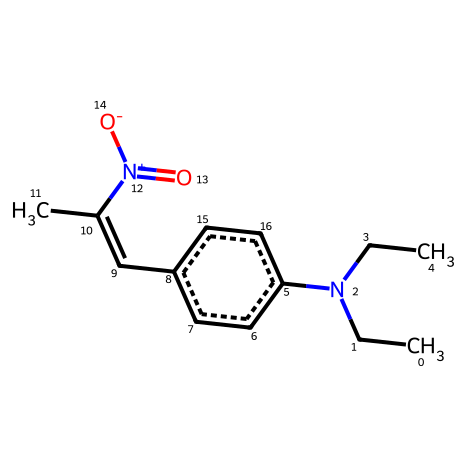 CCN(CC)c1ccc(C=C(C)[N+](=O)[O-])cc1